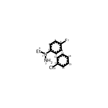 CCN(N)c1ccc(F)cc1.Clc1ccccc1